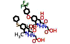 Cc1nc(C(=O)NCC(=O)O)c(O)c2ccc(Oc3ccc(C(F)(F)F)cc3)cc12.Cc1nc(C(=O)NCC(=O)O)c(O)c2ccc(Sc3ccccc3)cc12